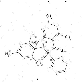 CC1=CC(C)CC(C)=C1C(=O)P(=O)(C(=O)c1c(C)cc(C)cc1C)c1ccccc1